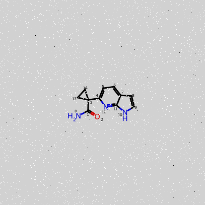 NC(=O)C1(c2ccc3cc[nH]c3n2)CC1